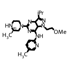 COCCN1N=C(C(C)C)C2N=C(N3CCN[C@H](C)C3)N=C(Nc3ccc(C)cn3)C21